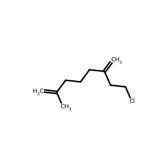 C=C(C)CCCC(=C)CCCl